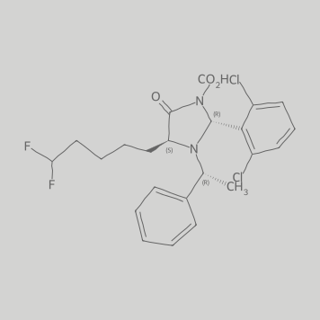 C[C@H](c1ccccc1)N1[C@@H](CCCCC(F)F)C(=O)N(C(=O)O)[C@@H]1c1c(Cl)cccc1Cl